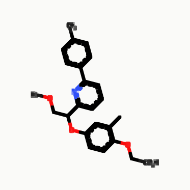 CCOCC(Oc1ccc(OCC(=O)O)c(C)c1)c1cccc(-c2ccc(C(F)(F)F)cc2)n1